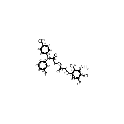 Nc1c(Cl)c(F)nc(OCC(=O)OCC(=O)N(c2ccc(Cl)cc2)c2cccc(F)c2)c1Cl